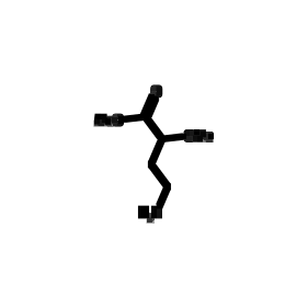 COC(=O)C(CCN)OC